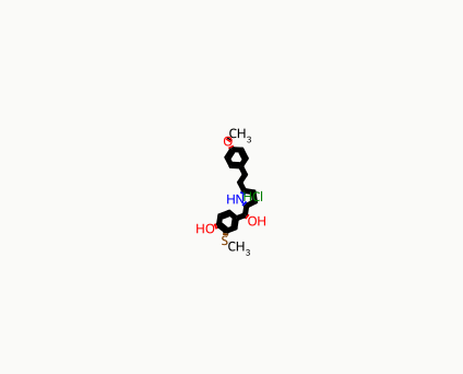 COc1ccc(CCC2CCC(C(O)c3ccc(O)c(SC)c3)N2)cc1.Cl